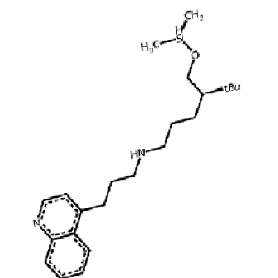 C[SiH](C)OC[C@H](CCCNCCCc1ccnc2ccccc12)C(C)(C)C